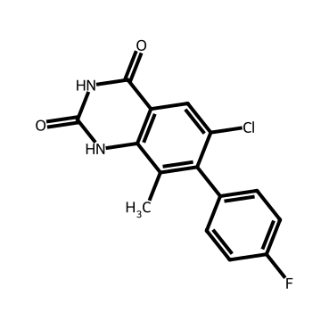 Cc1c(-c2ccc(F)cc2)c(Cl)cc2c(=O)[nH]c(=O)[nH]c12